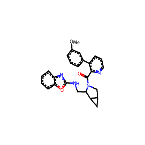 COc1cccc(-c2cccnc2C(=O)N2CC3CC3C2CNc2nc3ccccc3o2)c1